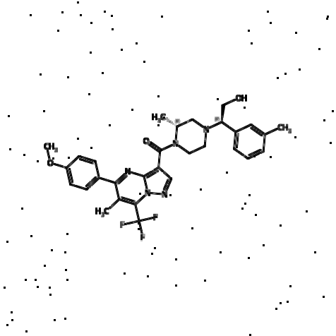 COc1ccc(-c2nc3c(C(=O)N4CCN([C@@H](CO)c5cccc(C)c5)C[C@H]4C)cnn3c(C(F)(F)F)c2C)cc1